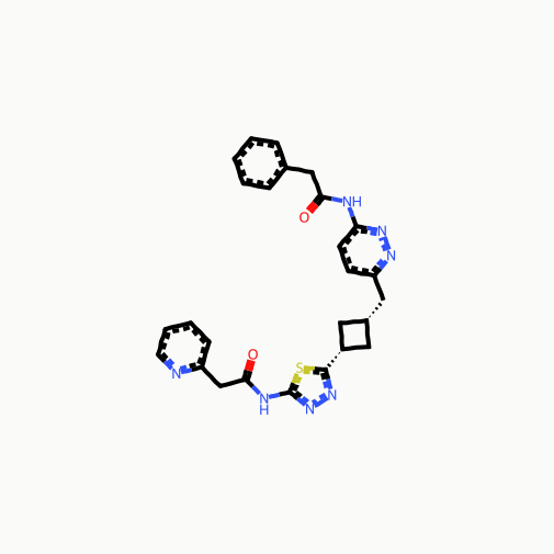 O=C(Cc1ccccc1)Nc1ccc(C[C@H]2C[C@@H](c3nnc(NC(=O)Cc4ccccn4)s3)C2)nn1